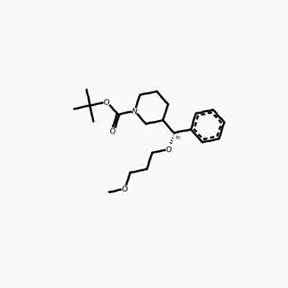 COCCCO[C@@H](c1ccccc1)C1CCCN(C(=O)OC(C)(C)C)C1